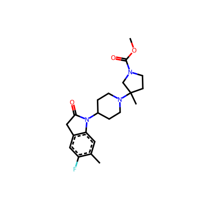 COC(=O)N1CCC(C)(N2CCC(N3C(=O)Cc4cc(F)c(C)cc43)CC2)C1